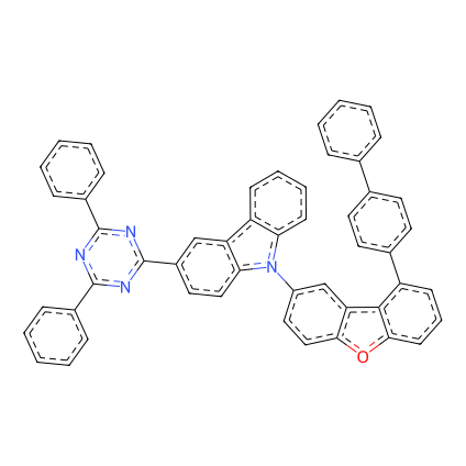 c1ccc(-c2ccc(-c3cccc4oc5ccc(-n6c7ccccc7c7cc(-c8nc(-c9ccccc9)nc(-c9ccccc9)n8)ccc76)cc5c34)cc2)cc1